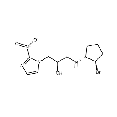 O=[N+]([O-])c1nccn1CC(O)CN[C@@H]1CCC[C@H]1Br